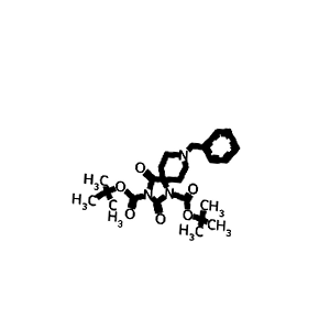 CC(C)(C)OC(=O)N1C(=O)N(C(=O)OC(C)(C)C)C2(CCN(Cc3ccccc3)CC2)C1=O